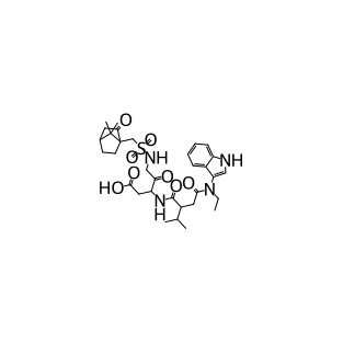 CCN(C(=O)CC(C(=O)NC(CC(=O)O)C(=O)CNS(=O)(=O)CC12CCC(CC1=O)C2(C)C)C(C)C)c1c[nH]c2ccccc12